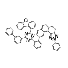 c1ccc(-c2cccc(-c3nc(-c4ccccc4-c4ccc5ccc6ccc7nn(-c8ccccc8)nc7c6c5c4)nc(-c4cccc5oc6ccccc6c45)n3)c2)cc1